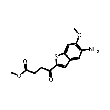 COC(=O)CCC(=O)c1cc2cc(N)c(OC)cc2s1